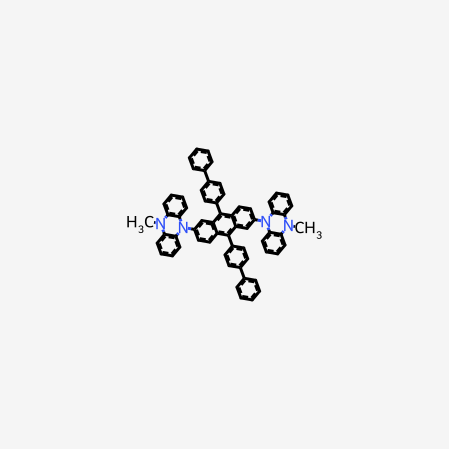 CN1c2ccccc2N(c2ccc3c(-c4ccc(-c5ccccc5)cc4)c4cc(N5c6ccccc6N(C)c6ccccc65)ccc4c(-c4ccc(-c5ccccc5)cc4)c3c2)c2ccccc21